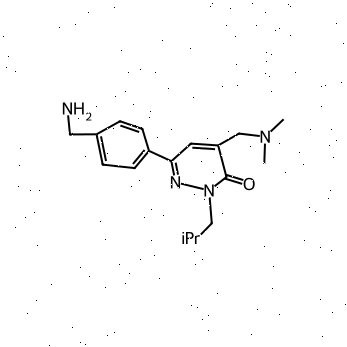 CC(C)Cn1nc(-c2ccc(CN)cc2)cc(CN(C)C)c1=O